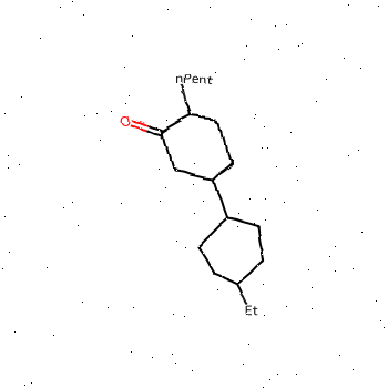 CCCCCC1CCC(C2CCC(CC)CC2)CC1=O